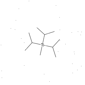 C[CH](C)[Ti]([CH3])([CH](C)C)[CH](C)C